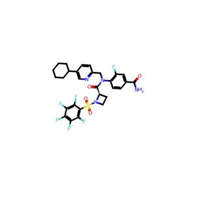 NC(=O)c1ccc(N(Cc2ccc(C3CCCCC3)cn2)C(=O)[C@H]2CCN2S(=O)(=O)c2c(F)c(F)c(F)c(F)c2F)c(F)c1